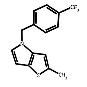 Cc1cc2c(ccn2Cc2ccc(C(F)(F)F)cc2)s1